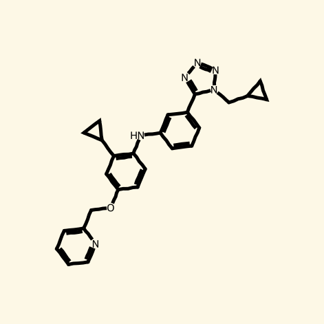 c1ccc(COc2ccc(Nc3cccc(-c4nnnn4CC4CC4)c3)c(C3CC3)c2)nc1